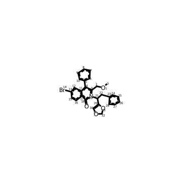 COCc1c(-c2ccccc2)c2cc(Br)ccc2c(=O)n1C(Cc1ccccc1)C1=COCO1